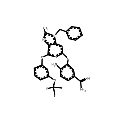 Cc1nc2c(Oc3cccc(OC(F)(F)F)c3)nc(Oc3cc(C(=N)N)ccc3N)nc2n1Cc1ccccc1